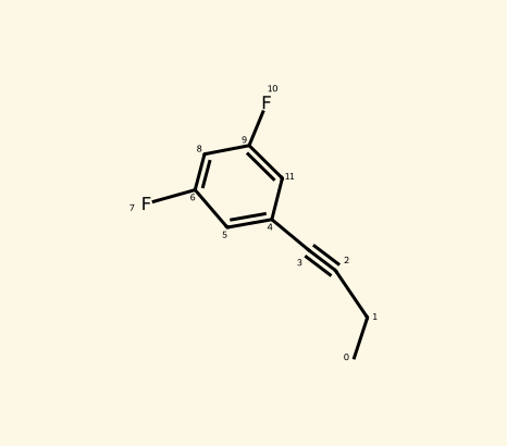 CCC#Cc1cc(F)cc(F)c1